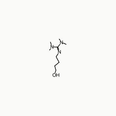 CN(C)C(=NCCCCO)N(C)C